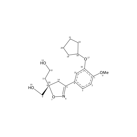 COc1ccc(C2=NO[C@](CO)(CCO)C2)cc1OC1CCCC1